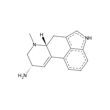 CN1C[C@@H](N)C=C2c3cccc4[nH]cc(c34)C[C@H]21